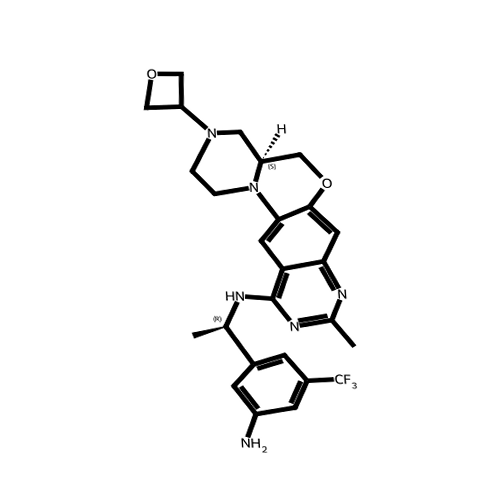 Cc1nc(N[C@H](C)c2cc(N)cc(C(F)(F)F)c2)c2cc3c(cc2n1)OC[C@@H]1CN(C2COC2)CCN31